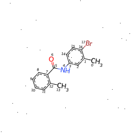 Cc1cc(NC(=O)c2ccccc2C)ccc1Br